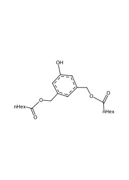 CCCCCCC(=O)OCc1cc(O)cc(COC(=O)CCCCCC)c1